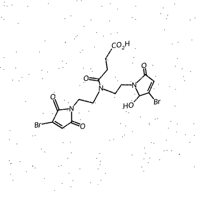 O=C(O)CCC(=O)N(CCN1C(=O)C=C(Br)C1=O)CCN1C(=O)C=C(Br)C1O